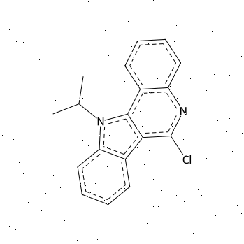 CC(C)n1c2ccccc2c2c(Cl)nc3ccccc3c21